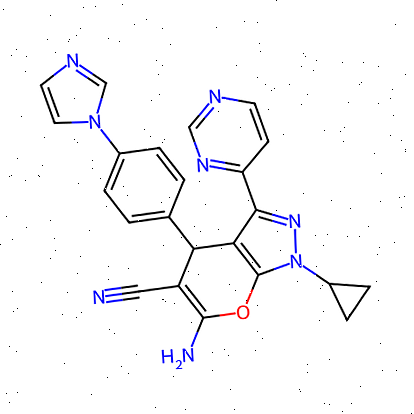 N#CC1=C(N)Oc2c(c(-c3ccncn3)nn2C2CC2)C1c1ccc(-n2ccnc2)cc1